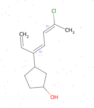 C=C/C(=C\C=C(/C)Cl)C1CCC(O)C1